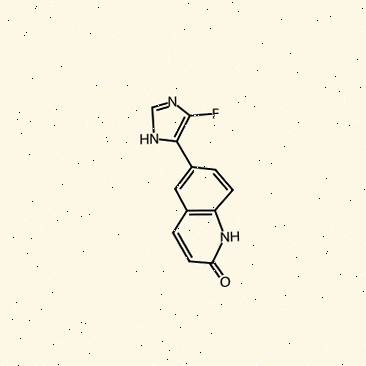 O=c1ccc2cc(-c3[nH]cnc3F)ccc2[nH]1